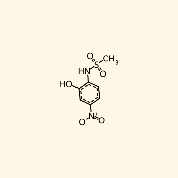 CS(=O)(=O)Nc1ccc([N+](=O)[O-])cc1O